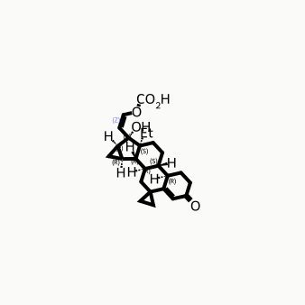 CC[C@]12CC[C@H]3[C@@H](CC4(CC4)C4=CC(=O)CC[C@@H]43)[C@@H]1[C@H]1C[C@H]1[C@@]2(O)/C=C\OC(=O)O